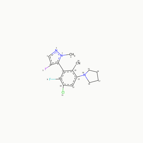 Cn1ncc(I)c1-c1c(F)c(Cl)cc(N2CCCC2)c1C#N